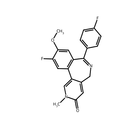 COc1cc2c(cc1F)-c1cn(C)c(=O)cc1CN=C2c1ccc(F)cc1